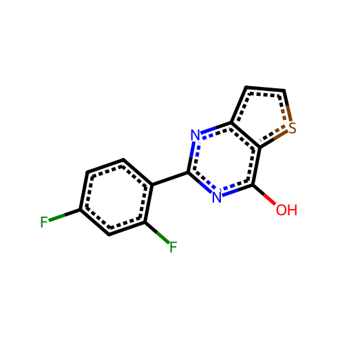 Oc1nc(-c2ccc(F)cc2F)nc2ccsc12